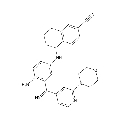 N#Cc1ccc2c(c1)CCCC2Nc1ccc(N)c(C(=N)c2ccnc(N3CCOCC3)c2)c1